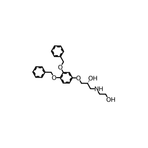 OCCNC[C@@H](O)COc1ccc(OCc2ccccc2)c(OCc2ccccc2)c1